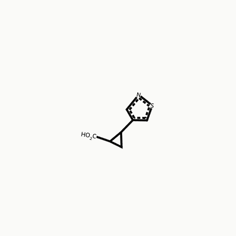 O=C(O)C1CC1c1cnsc1